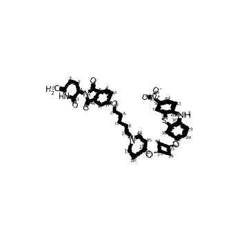 C=C1CCC(N2C(=O)c3ccc(OCCCCCN4CCC(O[C@H]5C[C@H](Oc6ccc7c(c6)Sc6cc([N+](=O)[O-])ccc6N7)C5)CC4)cc3C2=O)C(=O)N1